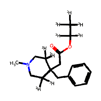 [2H]C([2H])([2H])C([2H])([2H])OC(=O)CC1(Cc2ccccc2)C([2H])([2H])CN(C)CC1([2H])[2H]